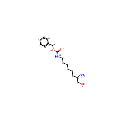 NC(CO)CCCCCCNC(=O)OCc1ccccc1